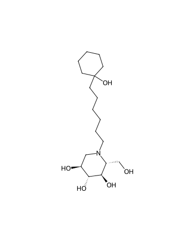 OC[C@@H]1[C@@H](O)[C@H](O)[C@@H](O)CN1CCCCCCC1(O)CCCCC1